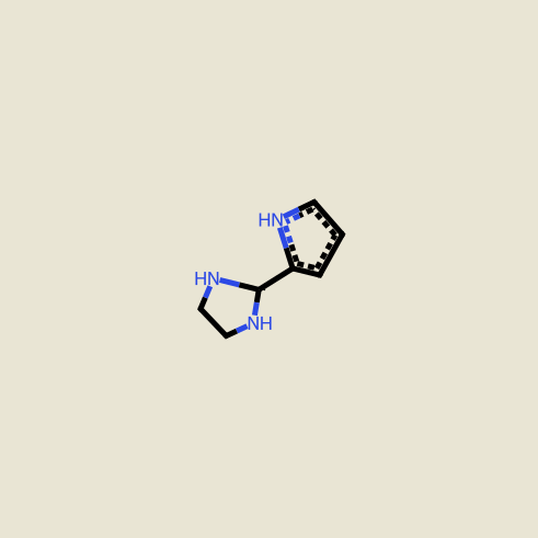 c1c[nH]c([C]2NCCN2)c1